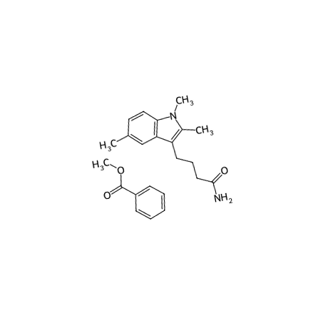 COC(=O)c1ccccc1.Cc1ccc2c(c1)c(CCCC(N)=O)c(C)n2C